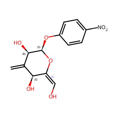 C=C1[C@@H](O)[C@@H](Oc2ccc([N+](=O)[O-])cc2)O/C(=C/O)[C@H]1O